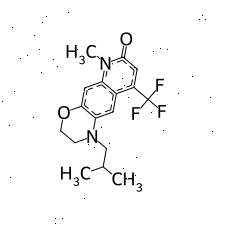 CC(C)CN1CCOc2cc3c(cc21)c(C(F)(F)F)cc(=O)n3C